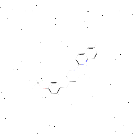 Oc1ccc2nc(N3CCC(Cc4ccc(OC(F)(F)F)cc4)CC3)ccc2c1